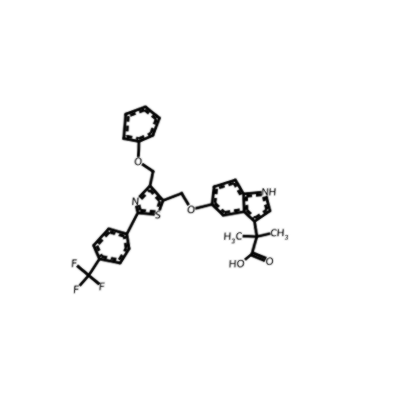 CC(C)(C(=O)O)c1c[nH]c2ccc(OCc3sc(-c4ccc(C(F)(F)F)cc4)nc3COc3ccccc3)cc12